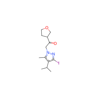 Cc1c(C(C)C)c(I)nn1CC(=O)C1CCOC1